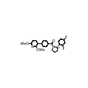 COc1ccc(-c2ccc(C(=O)N3CCC[C@@H]3c3ccc(F)cc3F)cc2)c(OC)n1